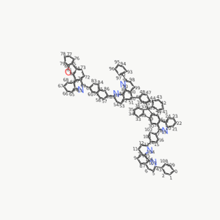 c1ccc(-c2ccc3ccc4ccc(-c5ccc(-c6nc7ccccc7c7cc8c(cc67)-c6ccccc6C8(c6ccccc6)c6cccc(-c7cc8ccc(-c9ccc%10cc(-c%11nc%12ccccc%12c%12c%11ccc%11c%13ccccc%13oc%11%12)ccc%10c9)nc8c8nc(-c9ccccc9)ccc78)c6)cc5)nc4c3n2)cc1